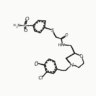 NS(=O)(=O)c1ccc(SCC(=O)NCC2CN(Cc3ccc(Cl)c(Cl)c3)CCO2)cc1